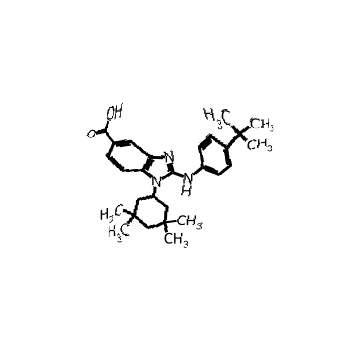 CC1(C)CC(n2c(Nc3ccc(C(C)(C)C)cc3)nc3cc(C(=O)O)ccc32)CC(C)(C)C1